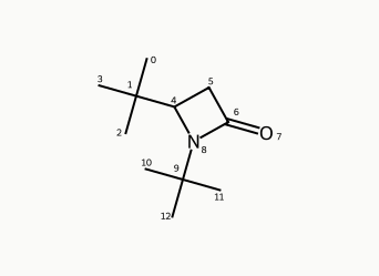 CC(C)(C)C1CC(=O)N1C(C)(C)C